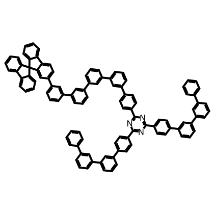 c1ccc(-c2cccc(-c3cccc(-c4ccc(-c5nc(-c6ccc(-c7cccc(-c8cccc(-c9ccccc9)c8)c7)cc6)nc(-c6ccc(-c7cccc(-c8cccc(-c9cccc(-c%10cccc(-c%11ccc%12c(c%11)C%11(c%13ccccc%13-c%13ccccc%13%11)c%11ccccc%11-%12)c%10)c9)c8)c7)cc6)n5)cc4)c3)c2)cc1